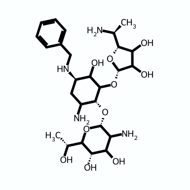 C[C@H](N)[C@H]1O[C@@H](OC2C(O)[C@H](NCc3ccccc3)CC(N)[C@H]2O[C@H]2OC([C@@H](C)O)[C@@H](O)C(O)C2N)C(O)C1O